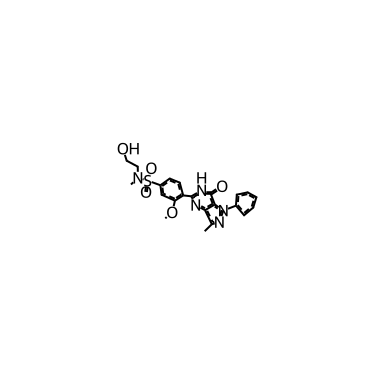 COc1cc(S(=O)(=O)N(C)CCO)ccc1-c1nc2c(C)nn(-c3ccccc3)c2c(=O)[nH]1